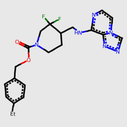 CCc1ccc(COC(=O)N2CCC(CNc3nccn4cnnc34)C(F)(F)C2)cc1